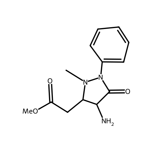 COC(=O)CC1C(N)C(=O)N(c2ccccc2)N1C